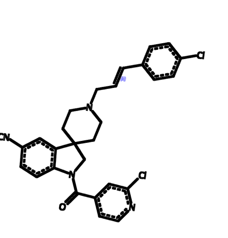 [C-]#[N+]c1ccc2c(c1)C1(CCN(C/C=C/c3ccc(Cl)cc3)CC1)CN2C(=O)c1ccnc(Cl)c1